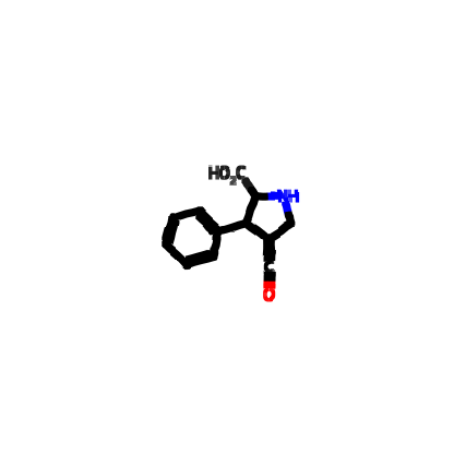 O=C=C1CNC(C(=O)O)C1c1ccccc1